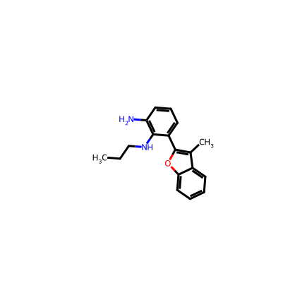 CCCNc1c(N)cccc1-c1oc2ccccc2c1C